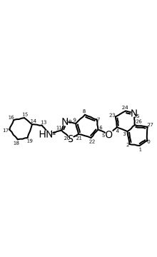 c1ccc2c(Oc3ccc4nc(NCC5CCCCC5)sc4c3)ccnc2c1